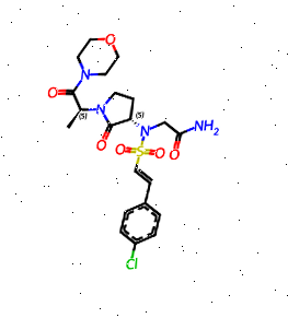 C[C@@H](C(=O)N1CCOCC1)N1CC[C@H](N(CC(N)=O)S(=O)(=O)C=Cc2ccc(Cl)cc2)C1=O